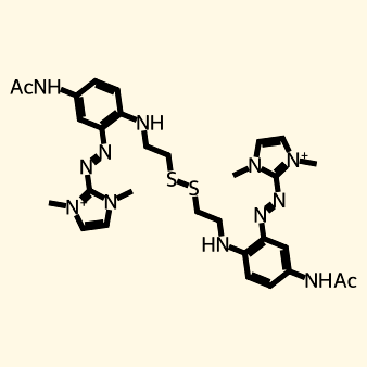 CC(=O)Nc1ccc(NCCSSCCNc2ccc(NC(C)=O)cc2/N=N/c2n(C)cc[n+]2C)c(/N=N/c2n(C)cc[n+]2C)c1